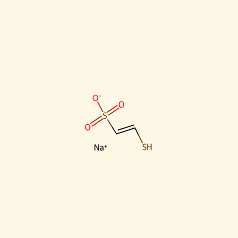 O=S(=O)([O-])C=CS.[Na+]